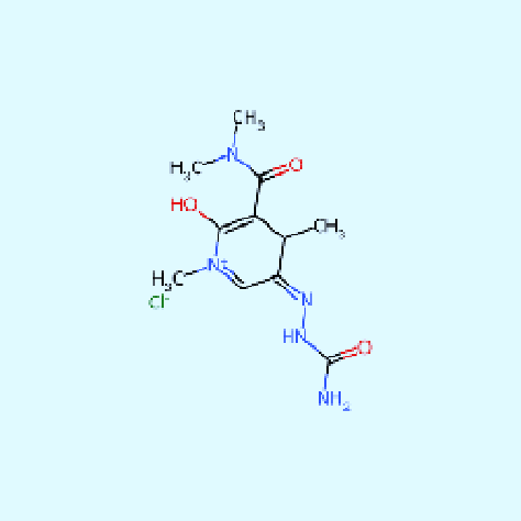 CC1C(=NNC(N)=O)C=[N+](C)C(O)=C1C(=O)N(C)C.[Cl-]